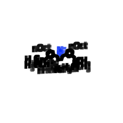 CCCCCCCCc1cc(CC[Si](C)(C)C)cc(C2=CC(CCCC)=C(c3cc(CCCCCCCC)cc(CC[Si](C)(C)C)c3)[N+]2=[N-])c1.CCCCC[CH2][Ni][CH2]CCCCC